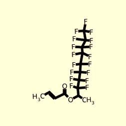 CC=CC(=O)OC(C)C(F)(F)C(F)(F)C(F)(F)C(F)(F)C(F)(F)C(F)(F)C(F)(F)C(F)(F)F